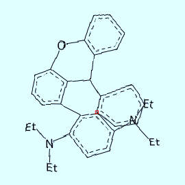 CCN(CC)c1ccc(N(CC)CC)c(-c2cccc3c2C(c2ccccc2)c2ccccc2O3)c1